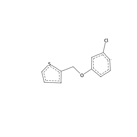 Clc1[c]ccc(OCc2cccs2)c1